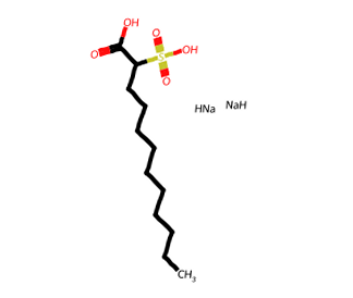 CCCCCCCCCCC(C(=O)O)S(=O)(=O)O.[NaH].[NaH]